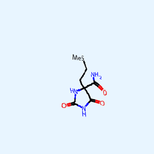 CSCCC1(C(N)=O)NC(=O)NC1=O